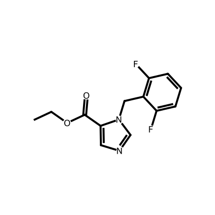 CCOC(=O)c1cncn1Cc1c(F)cccc1F